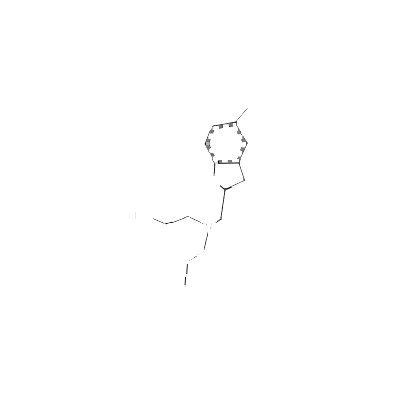 CCCN(CCC)CC1Cc2cc(O)ccc2O1